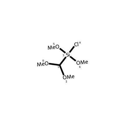 COC(OC)[Si](Cl)(OC)OC